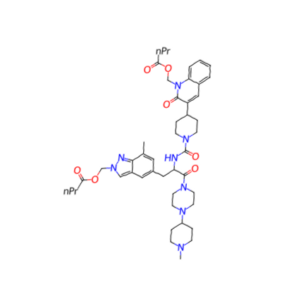 CCCC(=O)OCn1cc2cc(CC(NC(=O)N3CCC(c4cc5ccccc5n(COC(=O)CCC)c4=O)CC3)C(=O)N3CCN(C4CCN(C)CC4)CC3)cc(C)c2n1